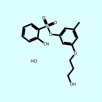 Cc1cc(OCCCO)cc(OS(=O)(=O)c2ccccc2C#N)c1.Cl